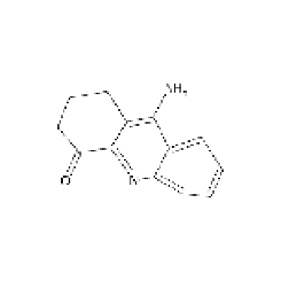 Nc1c2c(nc3ccccc13)C(=O)CCC2